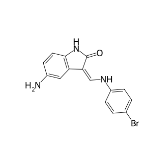 Nc1ccc2c(c1)C(=CNc1ccc(Br)cc1)C(=O)N2